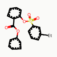 CCc1cccc(S(=O)(=O)Oc2ccccc2C(=O)Oc2ccccc2)c1